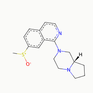 C[S+]([O-])c1ccc2ccnc(N3CCN4CCC[C@H]4C3)c2c1